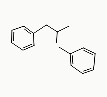 NC(Cc1ccccc1)Oc1ccccc1